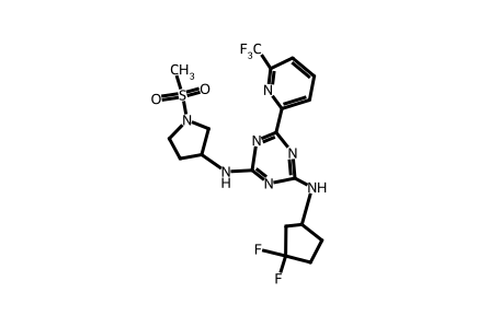 CS(=O)(=O)N1CCC(Nc2nc(NC3CCC(F)(F)C3)nc(-c3cccc(C(F)(F)F)n3)n2)C1